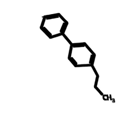 CCCc1ccc(-c2cc[c]cc2)cc1